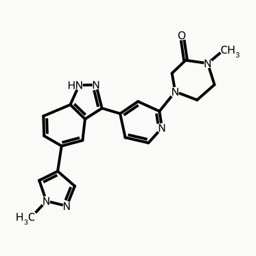 CN1CCN(c2cc(-c3n[nH]c4ccc(-c5cnn(C)c5)cc34)ccn2)CC1=O